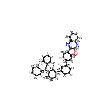 Cc1ccccc1B(c1ccccc1C)c1c(C)ccc(-c2cccc(-c3ccc4c(c3)oc3nc5ccccc5nc34)c2)c1C